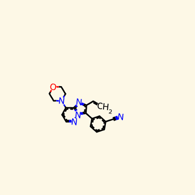 C=Cc1nc2c(N3CCOCC3)ccnn2c1-c1cccc(C#N)c1